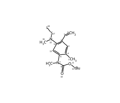 C=Cc1cc(C)c(N(C)C(=O)OC(C)(C)C)cc1N(C)SI